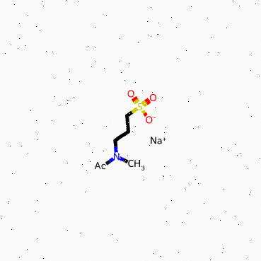 CC(=O)N(C)CCCS(=O)(=O)[O-].[Na+]